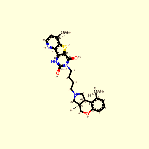 COc1cccc2c1[C@@H]1CN(CCCCn3c(=O)[nH]c4c(sc5c(OC)ccnc54)c3=O)C[C@@H]1CO2